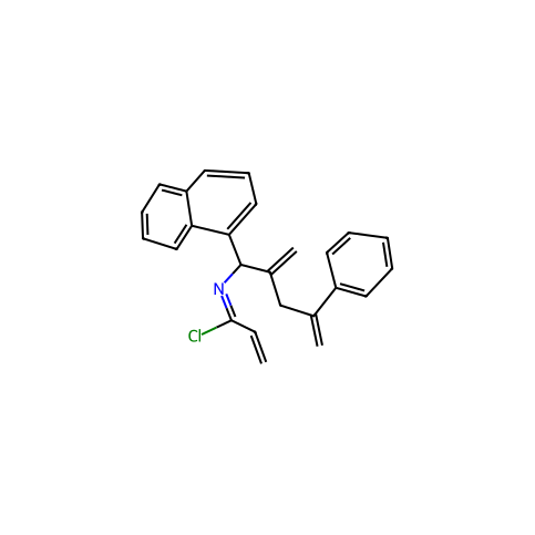 C=C/C(Cl)=N\C(C(=C)CC(=C)c1ccccc1)c1cccc2ccccc12